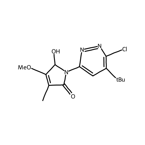 COC1=C(C)C(=O)N(c2cc(C(C)(C)C)c(Cl)nn2)C1O